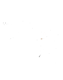 C=CC[C@H]1C[C@]2(SCc3ccc(OC)c(F)c3)OCOC2=CC1=O